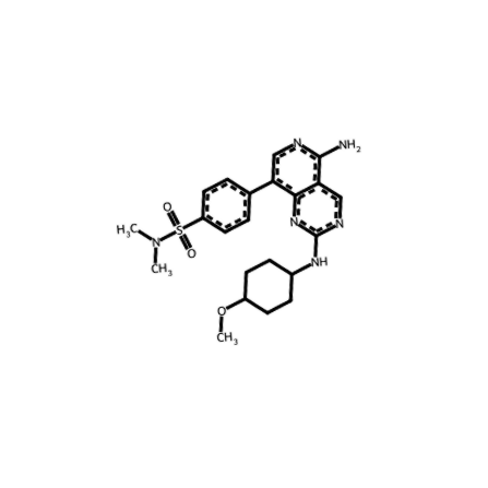 COC1CCC(Nc2ncc3c(N)ncc(-c4ccc(S(=O)(=O)N(C)C)cc4)c3n2)CC1